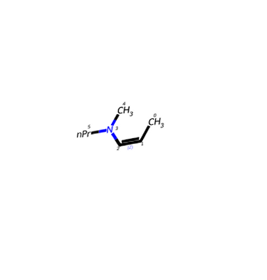 C/C=C\N(C)CCC